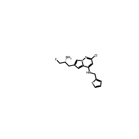 N[C@@H](CF)Cc1cc2c(NCc3cccs3)cc(Cl)nn2c1